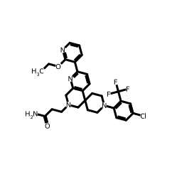 CCOc1ncccc1-c1ccc2c(n1)CN(CCC(N)=O)CC21CCN(c2ccc(Cl)cc2C(F)(F)F)CC1